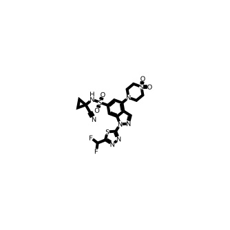 N#CC1(NS(=O)(=O)c2cc(N3CCS(=O)(=O)CC3)c3cnn(-c4nnc(C(F)F)s4)c3c2)CC1